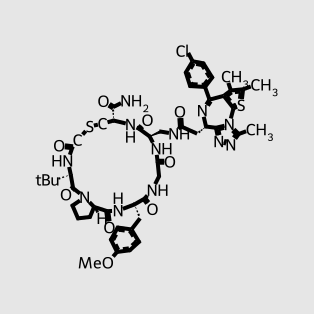 COc1ccc(C[C@@H]2NC(=O)[C@@H]3CCCN3C(=O)[C@H](C(C)(C)C)NC(=O)CSC[C@H](C(N)=O)NC(=O)[C@@H](CNC(=O)C[C@@H]3N=C(c4ccc(Cl)cc4)c4c(sc(C)c4C)-n4c(C)nnc43)NC(=O)CNC2=O)cc1